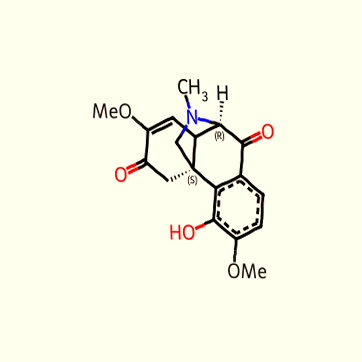 COC1=CC2[C@@H]3C(=O)c4ccc(OC)c(O)c4[C@@]2(CC1=O)CN3C